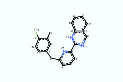 Cc1cc(Cc2cccc(-c3ncc4ccccc4n3)n2)ccc1F